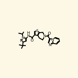 CC(C)n1nc(C(C)(C)C)cc1NC(=O)c1csc2c1CCN(C(=O)c1cnc3ccccn13)C2